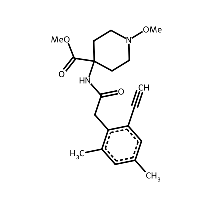 C#Cc1cc(C)cc(C)c1CC(=O)NC1(C(=O)OC)CCN(OC)CC1